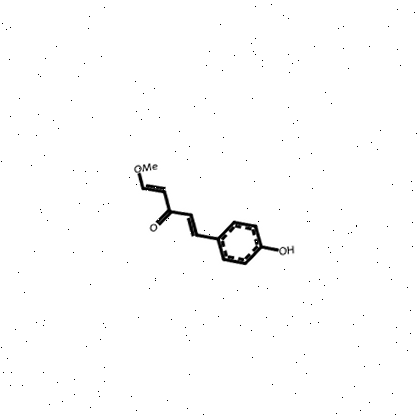 COC=CC(=O)C=Cc1ccc(O)cc1